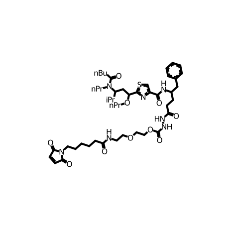 CCCCC(=O)N(CCC)C(CC(OCCC)c1nc(C(=O)NC(CCC(=O)NNC(=O)OCCOCCNC(=O)CCCCCN2C(=O)C=CC2=O)Cc2ccccc2)cs1)C(C)C